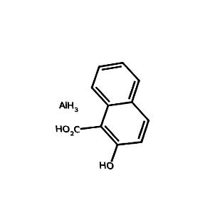 O=C(O)c1c(O)ccc2ccccc12.[AlH3]